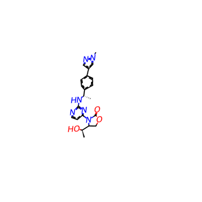 C[C@H](Nc1nccc(N2C(=O)OCC2[C@@H](C)O)n1)c1ccc(-c2cnn(C)c2)cc1